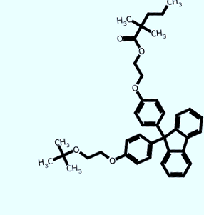 CCCC(C)(C)C(=O)OCCOc1ccc(C2(c3ccc(OCCOC(C)(C)C)cc3)c3ccccc3-c3ccccc32)cc1